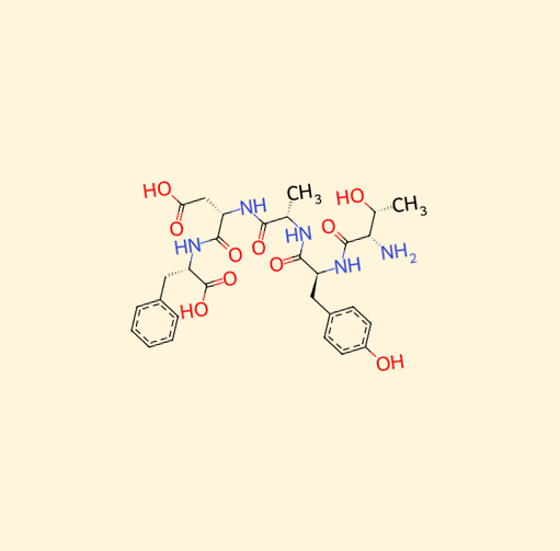 C[C@H](NC(=O)[C@H](Cc1ccc(O)cc1)NC(=O)[C@@H](N)[C@@H](C)O)C(=O)N[C@@H](CC(=O)O)C(=O)N[C@@H](Cc1ccccc1)C(=O)O